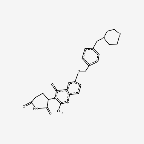 Cc1nc2ccc(OCc3ccc(CN4CCOCC4)cc3)cc2c(=O)n1C1CCC(=O)NC1=O